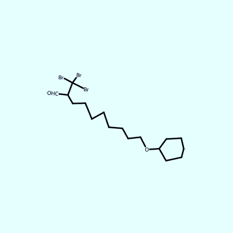 O=[C]C(CCCCCCCCOC1CC[CH]CC1)C(Br)(Br)Br